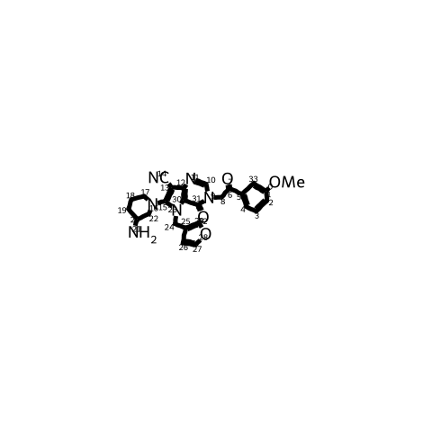 COc1cccc(C(=O)Cn2cnc3c(C#N)c(N4CCCC(N)C4)n(Cc4ccoc4)c3c2=O)c1